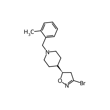 Cc1ccccc1CN1CCC([C@H]2CC(Br)=NO2)CC1